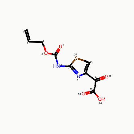 C=CCOC(=O)Nc1nc(C(=O)C(=O)O)cs1